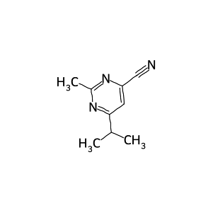 Cc1nc(C#N)cc(C(C)C)n1